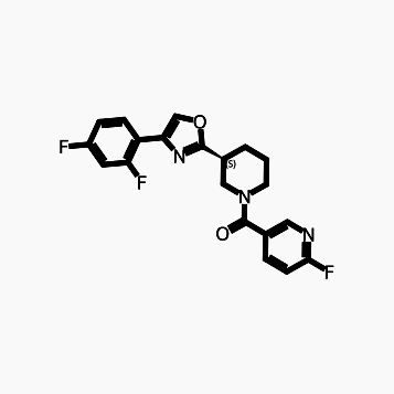 O=C(c1ccc(F)nc1)N1CCC[C@H](c2nc(-c3ccc(F)cc3F)co2)C1